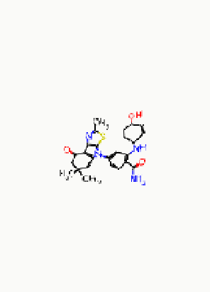 Cc1nc2c3c(n(-c4ccc(C(N)=O)c(N[C@H]5CC[C@H](O)CC5)c4)c2s1)CC(C)(C)CC3=O